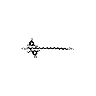 CCCCCCCCCCCCCCCCCCCCCCCCCCCCCCC(C(CCCCCCCC)=Nc1cc(CC)cc(CC)c1)=[N+]([Ni])c1cc(CC)cc(CC)c1